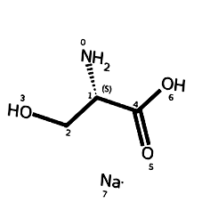 N[C@@H](CO)C(=O)O.[Na]